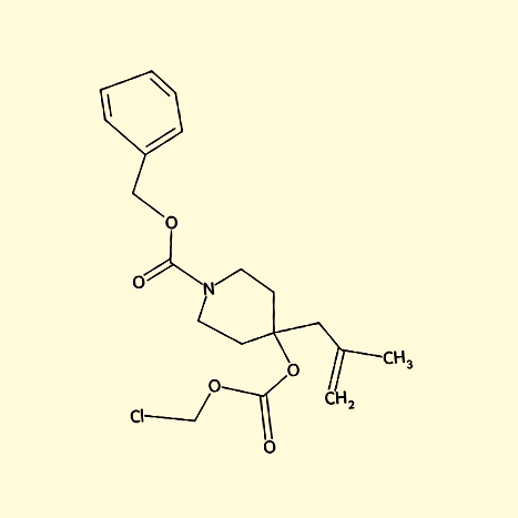 C=C(C)CC1(OC(=O)OCCl)CCN(C(=O)OCc2ccccc2)CC1